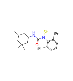 CC1CC(NC(=O)N(S)c2c(C(C)C)cccc2C(C)C)CC(C)(C)C1